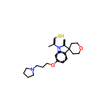 C=C(N/C(C)=C\S)C1(c2ccc(OCCCN3CCCC3)cc2)CCOCC1